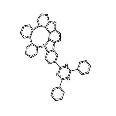 c1ccc(-c2nc(-c3ccccc3)nc(-c3ccc4c(c3)c3ccc5sc6cccc7c8ccccc8c8ccccc8n4c3c5c67)n2)cc1